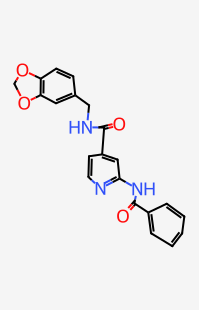 O=C(NCc1ccc2c(c1)OCO2)c1ccnc(NC(=O)c2ccccc2)c1